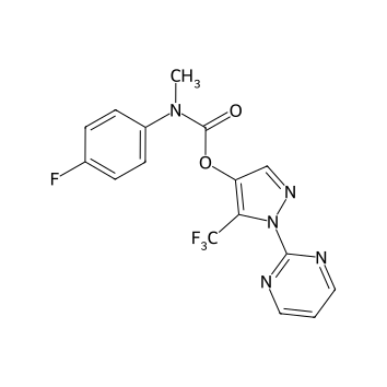 CN(C(=O)Oc1cnn(-c2ncccn2)c1C(F)(F)F)c1ccc(F)cc1